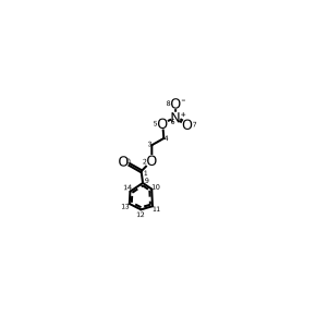 O=C(OCCO[N+](=O)[O-])c1[c]cccc1